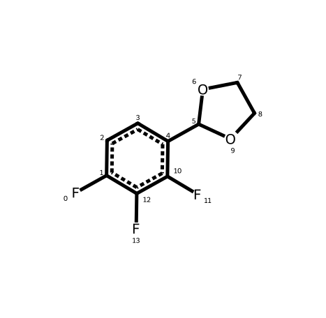 Fc1ccc(C2OCCO2)c(F)c1F